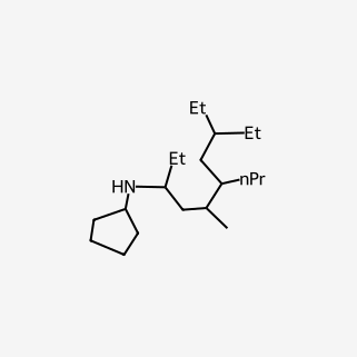 CCCC(CC(CC)CC)C(C)CC(CC)NC1CCCC1